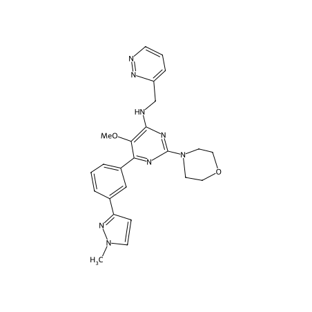 COc1c(NCc2cccnn2)nc(N2CCOCC2)nc1-c1cccc(-c2ccn(C)n2)c1